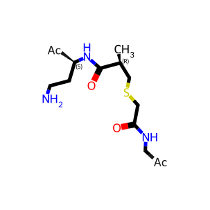 CC(=O)CNC(=O)CSC[C@H](C)C(=O)N[C@@H](CCN)C(C)=O